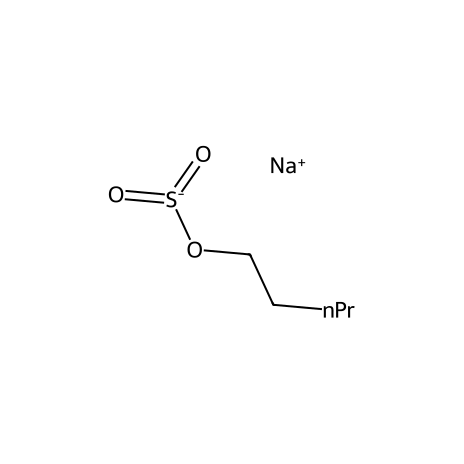 CCCCCO[S-](=O)=O.[Na+]